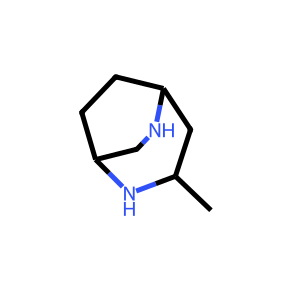 CC1CC2CCC(CN2)N1